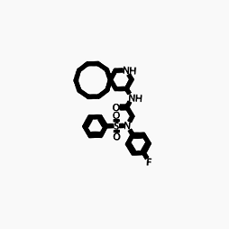 O=C(CN(c1ccc(F)cc1)S(=O)(=O)c1ccccc1)NC1CNCC2(CCCCCCCCC2)C1